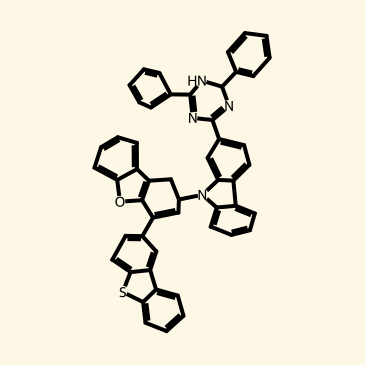 C1=C(c2ccc3sc4ccccc4c3c2)c2oc3ccccc3c2CC1n1c2ccccc2c2ccc(C3=NC(c4ccccc4)NC(c4ccccc4)=N3)cc21